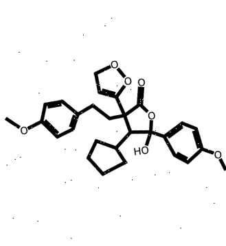 COc1ccc(CCC2(C3=CCOO3)C(=O)OC(O)(c3ccc(OC)cc3)C2C2CCCC2)cc1